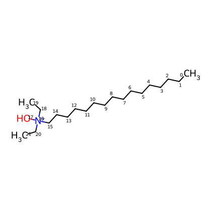 CCCCCCCCCCCCCCCC[N+](O)(CC)CC